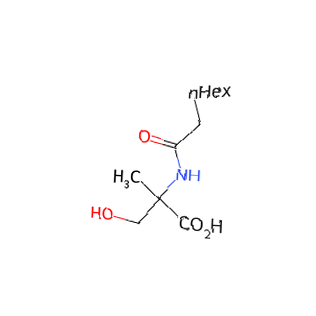 CCCCCCCC(=O)NC(C)(CO)C(=O)O